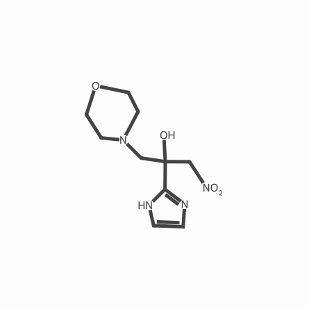 O=[N+]([O-])CC(O)(CN1CCOCC1)c1ncc[nH]1